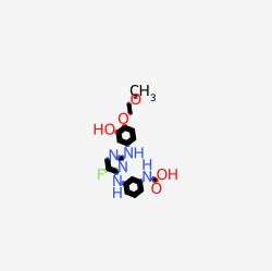 COCCOc1ccc(Nc2ncc(F)c(Nc3cccc(NC(=O)O)c3)n2)cc1O